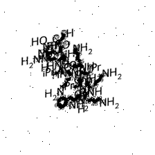 CC(C)C[C@H](NC(=O)[C@H](CCCCN)NC(=O)[C@H](CCCCN)NC(=O)[C@H](CC(C)C)NC(=O)[C@H](CC(C)C)NC(=O)[C@H](CCCCN)NC(=O)[C@H](CCCCN)NC(=O)[C@@H](N)Cc1ccccc1)C(=O)N[C@@H](CCCNC(=N)N)C(=O)N[C@@H](CCCCN)C(=O)N[C@@H](CS)C(=O)O